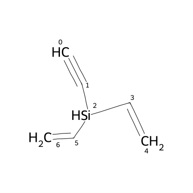 C#C[SiH](C=C)C=C